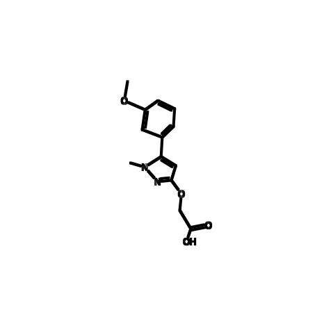 COc1cccc(-c2cc(OCC(=O)O)nn2C)c1